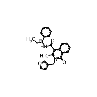 CC[C@H](NC(=O)c1c(C)n(Cc2ccoc2)c(=O)c2ccccc12)c1ccccc1